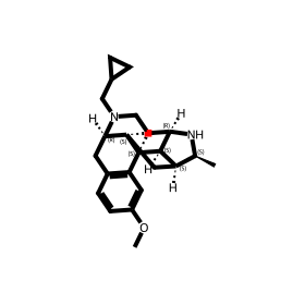 COc1ccc2c(c1)[C@@]13CCN(CC4CC4)[C@H](C2)[C@]12CC[C@H]1N[C@@H](C)[C@@H](C2)[C@H]13